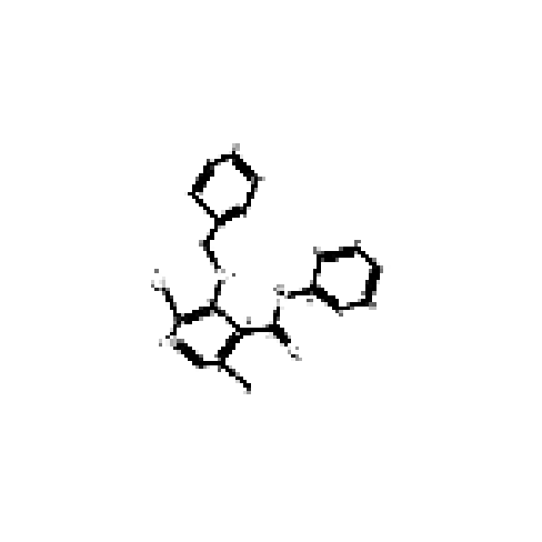 Cc1cnc(Cl)c(OCc2ccccc2)c1C(=O)Oc1ccccc1